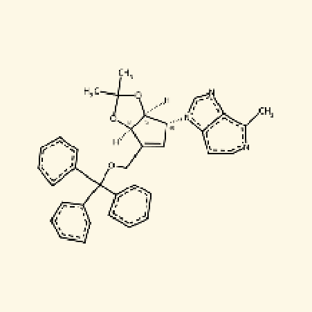 Cc1nccc2c1ncn2[C@@H]1C=C(COC(c2ccccc2)(c2ccccc2)c2ccccc2)[C@H]2OC(C)(C)O[C@H]21